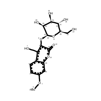 CCCCOc1ccc2c(O)c(O[C@@H]3O[C@H](CO)[C@@H](O)[C@H](O)[C@@H]3O)c(=O)oc2c1